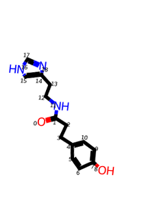 O=C(CCc1ccc(O)cc1)NCCc1c[nH]cn1